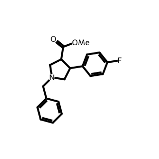 COC(=O)C1CN(Cc2ccccc2)CC1c1ccc(F)cc1